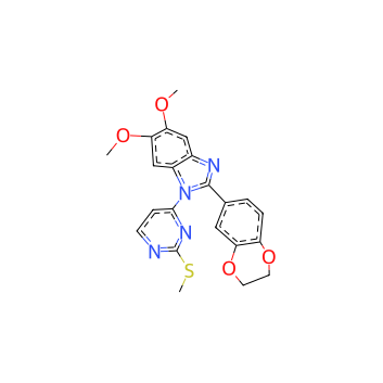 COc1cc2nc(-c3ccc4c(c3)OCCO4)n(-c3ccnc(SC)n3)c2cc1OC